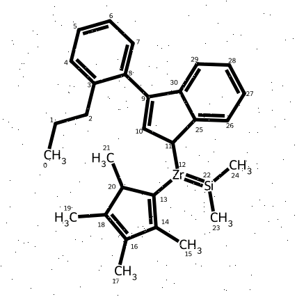 CCCc1ccccc1C1=C[CH]([Zr]([C]2=C(C)C(C)=C(C)C2C)=[Si](C)C)c2ccccc21